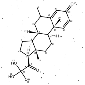 CC1C[C@H]2[C@@H]3CC[C@H](C(=O)C(O)(O)O)[C@@]3(C)CC[C@@H]2[C@@]2(C)C=CC(=O)C=C12